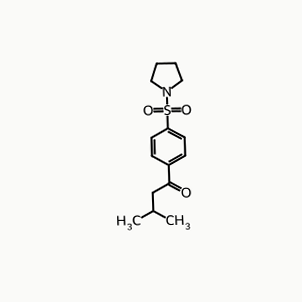 CC(C)CC(=O)c1ccc(S(=O)(=O)N2CCCC2)cc1